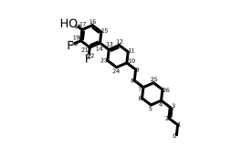 CC/C=C/C1CCC(CCC2CC=C(c3ccc(O)c(F)c3F)CC2)CC1